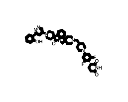 O=C1CC[C@H](c2c(F)cc(N3CCC(CN4CCC5(CC4)CN(C(=O)C4(c6ccccc6)CCN(c6cnnc(-c7ccccc7O)c6)CC4)C5)CC3)cc2F)C(=O)N1